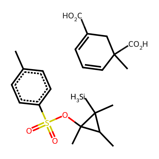 CC1(C(=O)O)C=CC=C(C(=O)O)C1.Cc1ccc(S(=O)(=O)OC2(C)C(C)C2(C)[SiH3])cc1